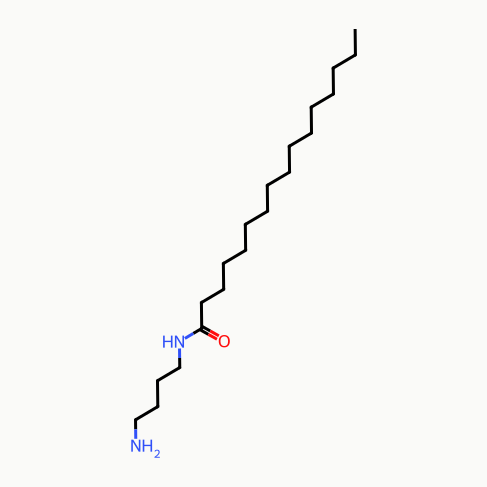 CCCCCCCCCCCCCCCC(=O)NCCCCN